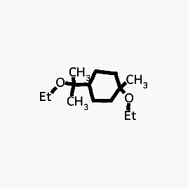 CCOC1(C)CCC(C(C)(C)OCC)CC1